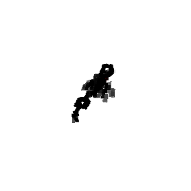 CC(C)(C)C(=O)CN1C2CCC1CN(CC(O)COc1ccc(C#N)cc1)C2